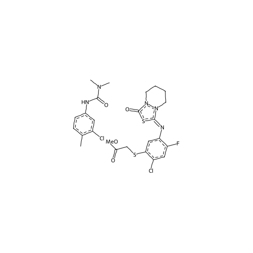 COC(=O)CSc1cc(/N=c2\sc(=O)n3n2CCCC3)c(F)cc1Cl.Cc1ccc(NC(=O)N(C)C)cc1Cl